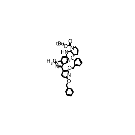 Cn1nc(-c2ccc(OCc3ccccc3)nc2OCc2ccccc2)c2ccc(NC3C(C(F)(F)F)CCCN3C(=O)OC(C)(C)C)cc21